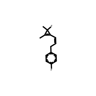 CC1=C(/C=C\Cc2ccc(F)cc2)C1(C)F